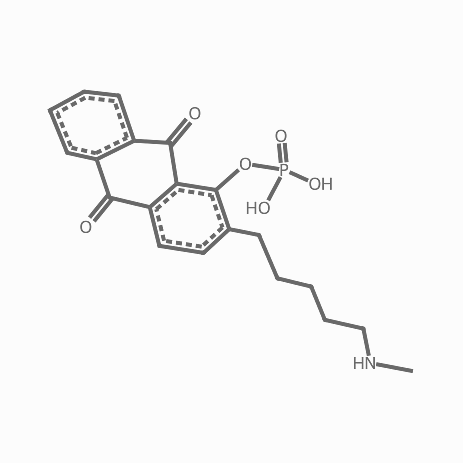 CNCCCCCc1ccc2c(c1OP(=O)(O)O)C(=O)c1ccccc1C2=O